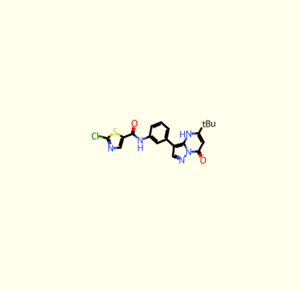 CC(C)(C)c1cc(=O)n2ncc(-c3cccc(NC(=O)c4cnc(Cl)s4)c3)c2[nH]1